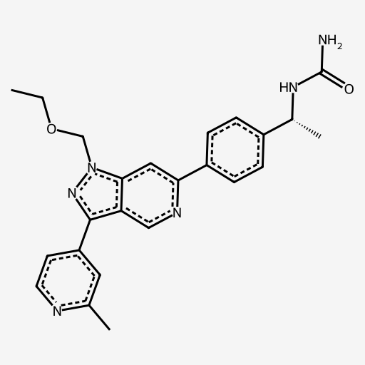 CCOCn1nc(-c2ccnc(C)c2)c2cnc(-c3ccc([C@@H](C)NC(N)=O)cc3)cc21